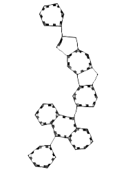 C1=C(c2ccccc2)Cc2cc3c(cc21)-c1cc(-c2c4ccccc4c(-c4ccccc4)c4ccccc24)ccc1C3